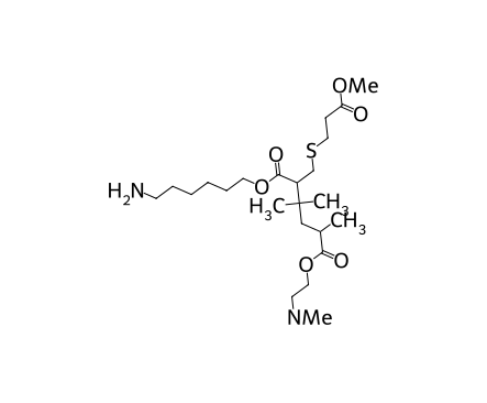 CNCCOC(=O)C(C)CC(C)(C)C(CSCCC(=O)OC)C(=O)OCCCCCCN